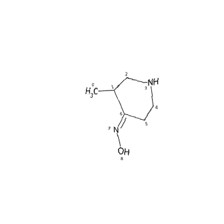 CC1CNCCC1=NO